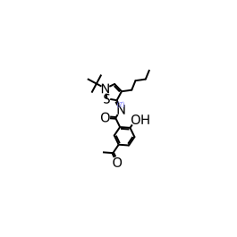 CCCCc1cn(C(C)(C)C)s/c1=N\C(=O)c1cc(C(C)=O)ccc1O